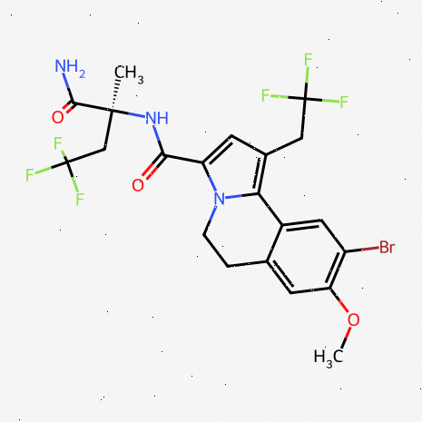 COc1cc2c(cc1Br)-c1c(CC(F)(F)F)cc(C(=O)N[C@@](C)(CC(F)(F)F)C(N)=O)n1CC2